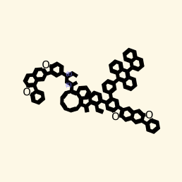 C=Cc1c(C(=C)c2ccccccc(/C(C)=C/C(=C\C)c3ccc4oc5cc6ccc7oc8ccccc8c7c6cc5c4c3)c3ccccc23)cccc1-c1cc2oc3cc4cc5c(cc4cc3c2cc1-c1cccc(-c2c3ccccc3c(-c3cccc4ccccc34)c3ccccc23)c1)oc1ccccc15